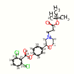 CC(C)(C)OC(=O)CCN1CCOC(c2ccc(OC(=O)c3c(Cl)cccc3Cl)cc2)C1